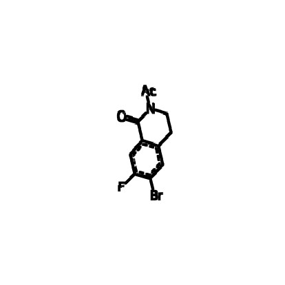 CC(=O)N1CCc2cc(Br)c(F)cc2C1=O